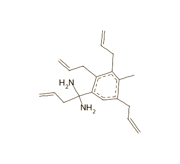 C=CCc1cc(C(N)(N)CC=C)c(CC=C)c(CC=C)c1C